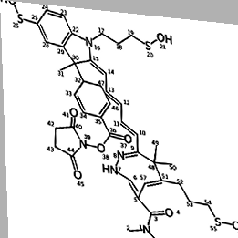 CON(C)C(=O)C1=C\N/N=C(/C=C/C=C/C=C2/N(CCCSO)c3ccc(SO)cc3C2(C)C2C=CC(C(=O)ON3C(=O)CCC3=O)=CC2)C(C)(C)\C(CCCSO)=C\1